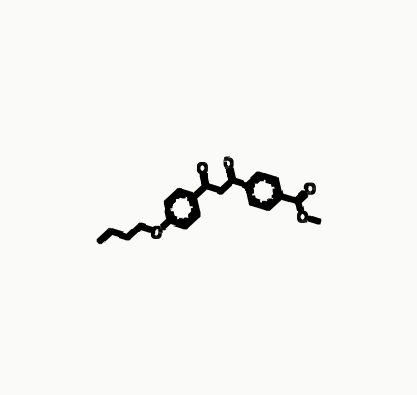 CCCCOc1ccc(C(=O)CC(=O)c2ccc(C(=O)OC)cc2)cc1